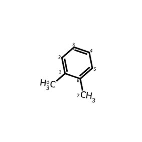 Cc1c[c]ccc1C